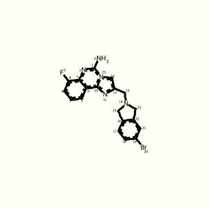 Nc1nc2c(F)cccc2c2nc(CN3Cc4ccc(Br)cc4C3)cn12